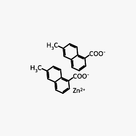 Cc1ccc2c(C(=O)[O-])cccc2c1.Cc1ccc2c(C(=O)[O-])cccc2c1.[Zn+2]